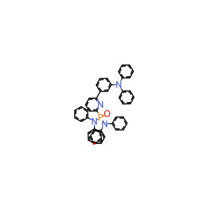 O=P(c1cccc(-c2cccc(N(c3ccccc3)c3ccccc3)c2)n1)(N(c1ccccc1)c1ccccc1)N(c1ccccc1)c1ccccc1